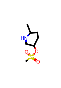 CC1CCC(OS(C)(=O)=O)CN1